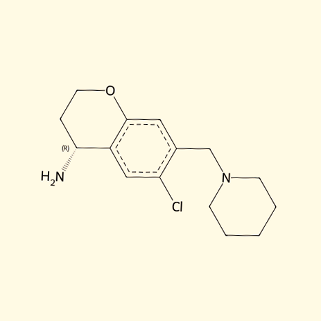 N[C@@H]1CCOc2cc(CN3CCCCC3)c(Cl)cc21